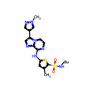 CCC(C)NS(=O)(=O)c1sc(Nc2nccn3c(-c4cnn(C)c4)cnc23)cc1C